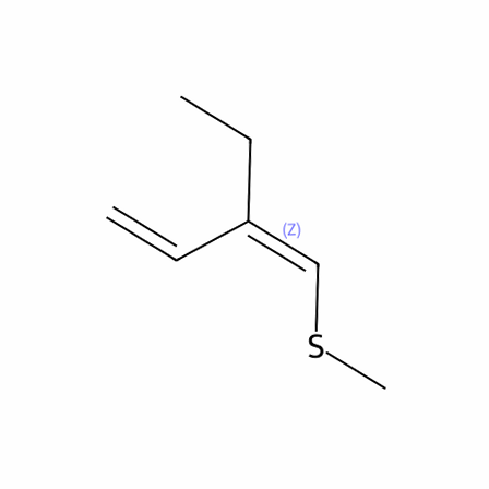 C=C/C(=C\SC)CC